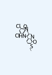 CCSc1ccc2c(Nc3cc(OC)c(Cl)cc3Cl)c(C#N)cnc2c1OC